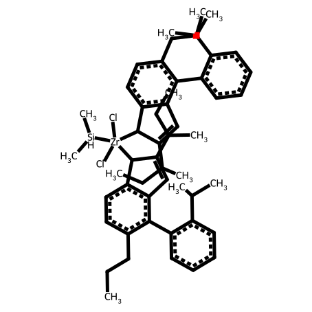 CCCc1ccc2c(c1-c1ccccc1C(C)C)C=C(C(C)CC)[CH]2[Zr]([Cl])([Cl])([CH]1C(C(C)CC)=Cc2c1ccc(CCC)c2-c1ccccc1C(C)C)[SiH](C)C